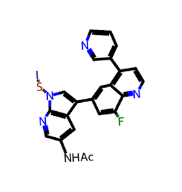 CC(=O)Nc1cnc2c(c1)c(-c1cc(F)c3nccc(-c4cccnc4)c3c1)cn2SI